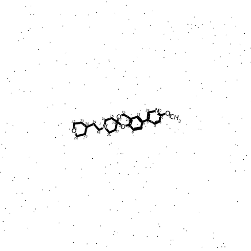 COc1ccc(-c2ccc3c(c2)COC2(CCN(CCC4CCOCC4)CC2)O3)cn1